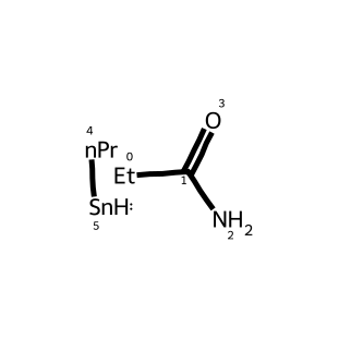 CCC(N)=O.CC[CH2][SnH]